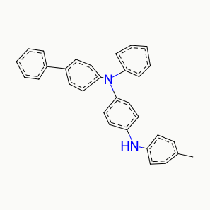 Cc1ccc(Nc2ccc(N(c3ccccc3)c3ccc(-c4ccccc4)cc3)cc2)cc1